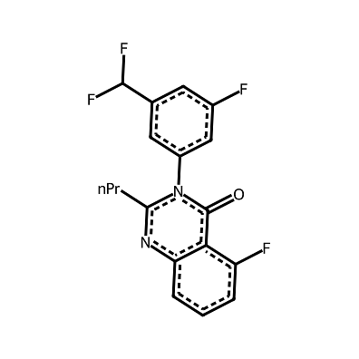 CCCc1nc2cccc(F)c2c(=O)n1-c1cc(F)cc(C(F)F)c1